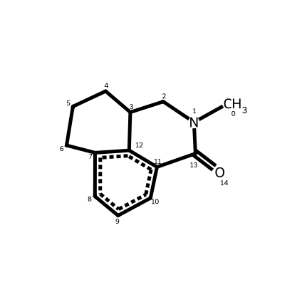 CN1CC2CCCc3cccc(c32)C1=O